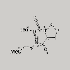 COCCNC(=O)C1CCCN1C(=O)OC(C)(C)C